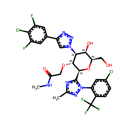 CNC(=O)CO[C@@H]1[C@@H](n2cc(-c3cc(F)c(Cl)c(F)c3)nn2)[C@@H](O)[C@@H](CO)O[C@H]1c1nc(C)nn1-c1cc(Cl)ccc1C(F)(F)F